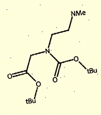 CNCCN(CC(=O)OC(C)(C)C)C(=O)OC(C)(C)C